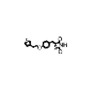 O=C1NC(=O)C(=Cc2ccc(OCCc3ccsc3)cc2)S1